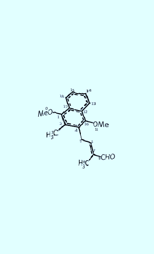 COc1c(C)c(CC=C(C)C=O)c(OC)c2ccccc12